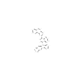 c1ccc2cc3c(cc2c1)c1ccccc1n3-c1ccc(-c2ccc3ccc4ccccc4c3c2)c2nccnc12